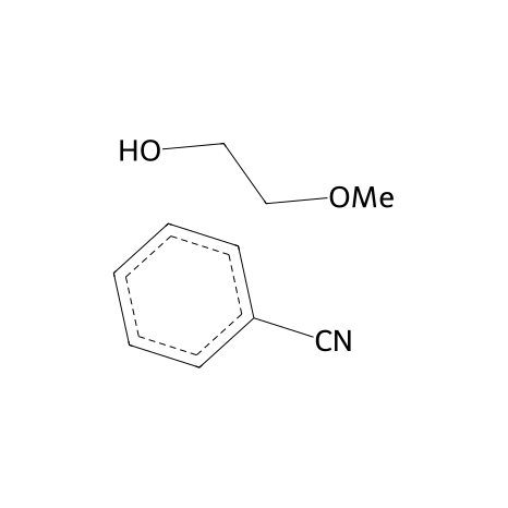 COCCO.N#Cc1ccccc1